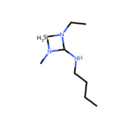 CCCCNC1N(C)[SiH2]N1CC